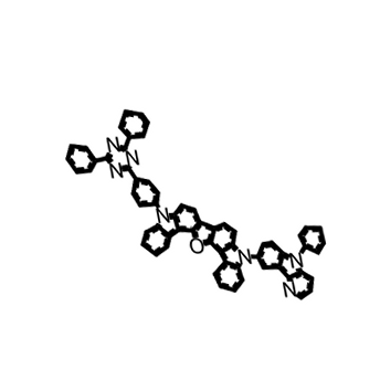 c1ccc(-c2nc(-c3ccccc3)nc(-c3ccc(-n4c5ccccc5c5c6oc7c(ccc8c7c7ccccc7n8-c7ccc8c(c7)c7ncccc7n8-c7ccccc7)c6ccc54)cc3)n2)cc1